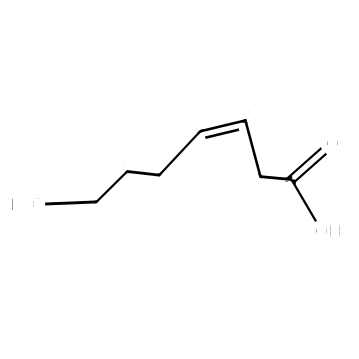 CCCC/C=C\CC(=O)O